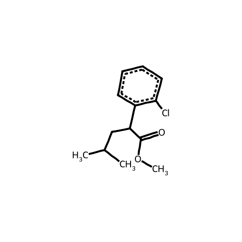 COC(=O)C(CC(C)C)c1ccccc1Cl